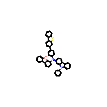 c1ccc(-n2c3ccccc3c3ccc(N(c4ccc(-c5ccc6c(c5)sc5ccccc56)cc4)c4cccc5c4oc4ccccc45)cc32)cc1